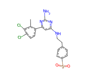 Cc1c(-c2cc(NCCc3ccc(S(N)(=O)=O)cc3)nc(N)n2)ccc(Cl)c1Cl